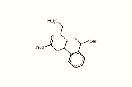 CCCCCCCCCCC(C)c1ccccc1C(CC(=O)OC)SCCC(=O)O